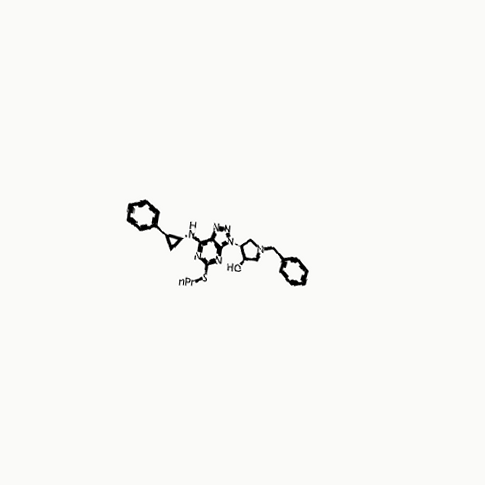 CCCSc1nc(N[C@@H]2C[C@H]2c2ccccc2)c2nnn([C@@H]3CN(Cc4ccccc4)C[C@H]3O)c2n1